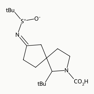 CC(C)(C)C1N(C(=O)O)CCC12CCC(=N[S+]([O-])C(C)(C)C)C2